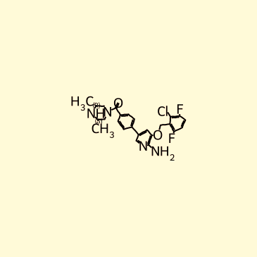 C[C@@H]1CN(C(=O)c2ccc(-c3cnc(N)c(OCc4c(F)ccc(F)c4Cl)c3)cc2)C[C@H](C)N1